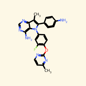 Cc1ccnc(Oc2ccc(-n3c(C4=C=C=C(N)C=C4)c(C)c4ncnc(N)c43)cc2F)n1